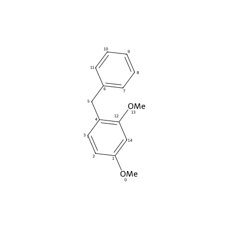 COc1c[c]c(Cc2ccccc2)c(OC)c1